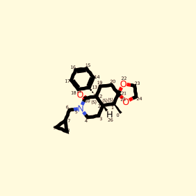 C[C@H]1[C@@H]2CCN(CC3CC3)C(=O)[C@@]2(c2ccccc2)CCC12OCCO2